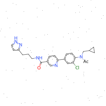 CC(=O)N(CC1CC1)c1ccc(-c2ccc(C(=O)NCCCc3cc[nH]n3)cn2)cc1Cl